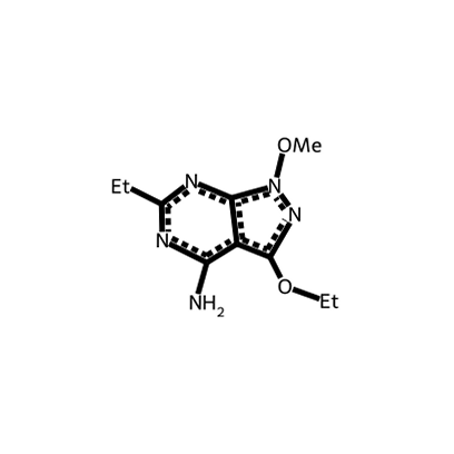 CCOc1nn(OC)c2nc(CC)nc(N)c12